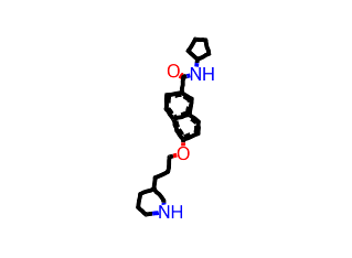 O=C(NC1CCCC1)c1ccc2cc(OCCCC3CCCNC3)ccc2c1